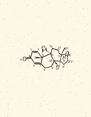 C[C@]12C=CC(=O)C=C1CC[C@@H]1[C@@H]2CC[C@]2(C)OCC[C@@H]12